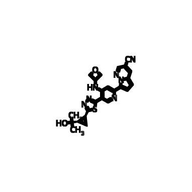 CC(C)(O)[C@@H]1C[C@@H]1c1nnc(-c2cnc(-c3ccc4cc(C#N)cnn34)cc2NC2COC2)s1